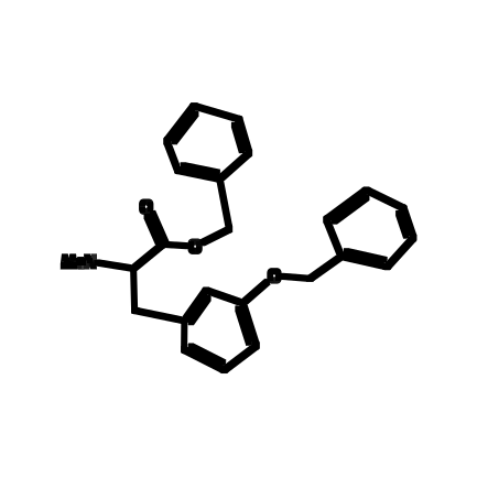 CNC(Cc1cccc(OCc2ccccc2)c1)C(=O)OCc1ccccc1